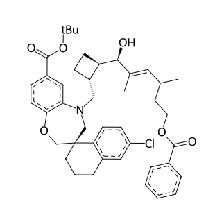 C/C(=C\C(C)CCOC(=O)c1ccccc1)[C@H](O)[C@@H]1CC[C@H]1CN1C[C@@]2(CCCc3cc(Cl)ccc32)COc2ccc(C(=O)OC(C)(C)C)cc21